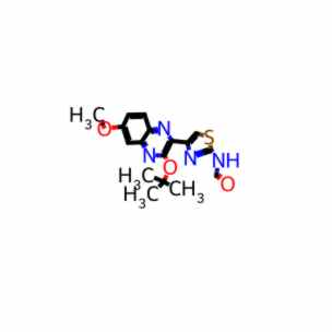 COc1ccc2nc(-c3csc(NC=O)n3)c(OC(C)(C)C)nc2c1